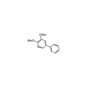 COc1cc(-c2ccccc2)cnc1OC